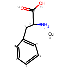 N[C@@H](Cc1ccccc1)C(=O)O.[Cu]